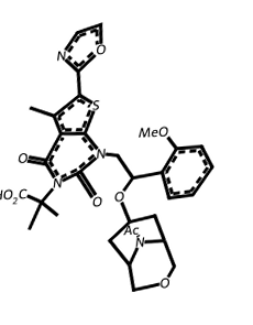 COc1ccccc1C(Cn1c(=O)n(C(C)(C)C(=O)O)c(=O)c2c(C)c(-c3ncco3)sc21)OC1CC2COCC(C1)N2C(C)=O